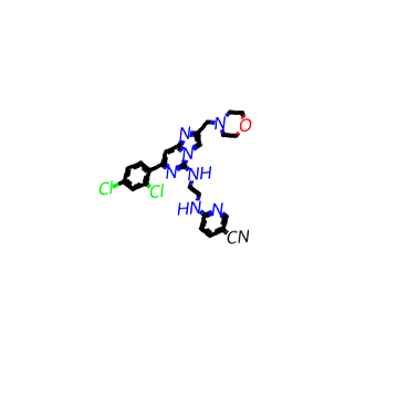 N#Cc1ccc(NCCNc2nc(-c3ccc(Cl)cc3Cl)cc3nc(CN4CCOCC4)cn23)nc1